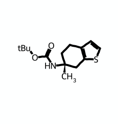 CC(C)(C)OC(=O)N[C@]1(C)CCc2ccsc2C1